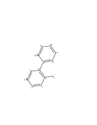 Cc1ccncc1-c1ccccn1